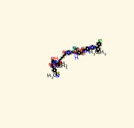 Cc1ncsc1-c1ccc(CNC(=O)[C@@H]2C[C@@H](O)CN2C(=O)[C@@H](NC(=O)CCCCCCC(=O)N2CCN(CCCNc3ccc(S(=O)(=O)NC(=O)c4ccc(N5CCN(CC6=C(c7ccc(Cl)cc7)CCC(C)(C)C6)CC5)cc4)cc3S(=O)(=O)C(F)(F)F)CC2)C(C)(C)C)cc1